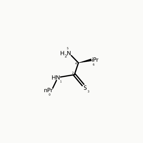 CCCNC(=S)[C@@H](N)C(C)C